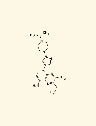 CCc1nc2c(nc1N)C(C1=CN(C3CCN(C(C)C)CC3)NC1)CC=C2N